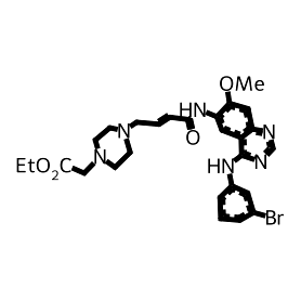 CCOC(=O)CN1CCN(C/C=C/C(=O)Nc2cc3c(Nc4cccc(Br)c4)ncnc3cc2OC)CC1